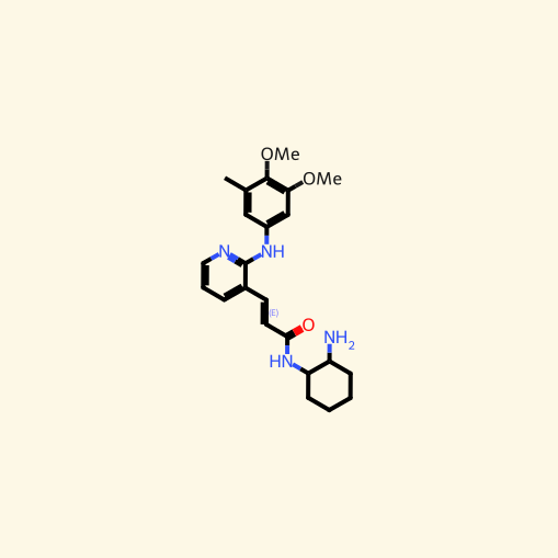 COc1cc(Nc2ncccc2/C=C/C(=O)NC2CCCCC2N)cc(C)c1OC